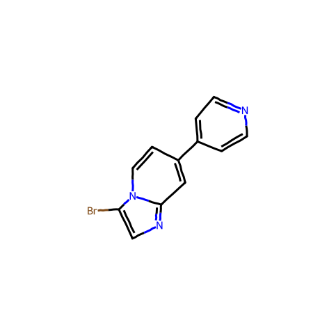 Brc1cnc2cc(-c3ccncc3)ccn12